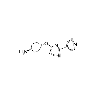 N[C@H]1CC[C@H](Oc2ccnc(-c3ccncc3)n2)CC1